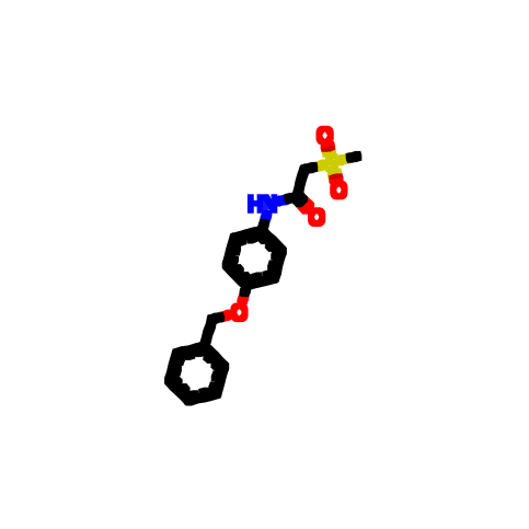 CS(=O)(=O)CC(=O)Nc1ccc(OCc2ccccc2)cc1